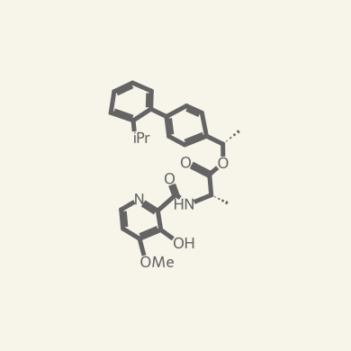 COc1ccnc(C(=O)N[C@@H](C)C(=O)O[C@@H](C)c2ccc(-c3ccccc3C(C)C)cc2)c1O